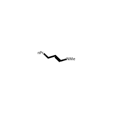 CCCC/C=C/NC